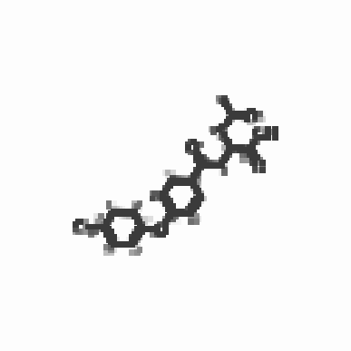 CC(=O)SC(CC(=O)c1ccc(Oc2ccc(Cl)cc2)cc1)C(=O)O